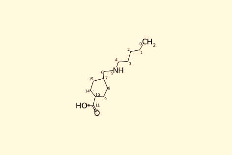 CCCCCNCC1CCC(C(=O)O)CC1